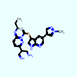 C=C(Sc1c[nH]c2ncc(-c3cnn(C)c3)cc12)n1nc(C(C=N)CN)cc/c1=N/CCC